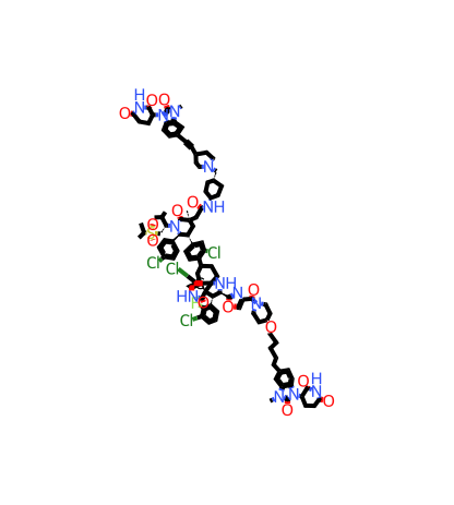 CC(C)[C@@H](CS(=O)(=O)C(C)C)N1C(=O)[C@@](C)(CC(=O)N[C@H]2CC[C@H](CN3CCC(C#Cc4ccc5c(c4)n(C)c(=O)n5C4CCC(=O)NC4=O)CC3)CC2)C[C@H](c2ccc(C3CCC4(CC3)N[C@@H](c3nc(C(=O)N5CCC(OCCCCCc6ccc7c(c6)n(C)c(=O)n7C6CCC(=O)NC6=O)CC5)co3)[C@H](c3cccc(Cl)c3F)[C@]43C(=O)Nc4cc(Cl)ccc43)c(Cl)c2)[C@H]1c1ccc(Cl)cc1